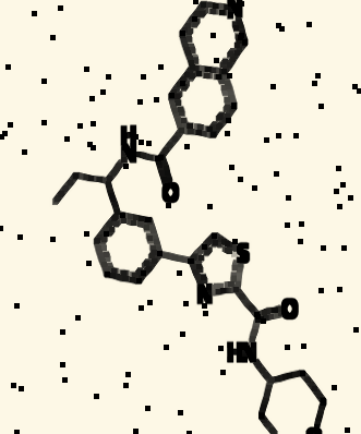 CCC(NC(=O)c1ccc2cnccc2c1)c1cccc(-c2csc(C(=O)NC3CCOCC3)n2)c1